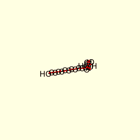 CC(C(=O)NC(O)(COCCOCCOCCOCCOCCOCCOCCOCCOCCOCCOCCO)N1C(=O)CCC1=O)N1C(=O)C=CC1=O